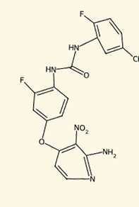 Nc1nccc(Oc2ccc(NC(=O)Nc3cc(C(F)(F)F)ccc3F)c(F)c2)c1[N+](=O)[O-]